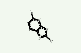 Sc1nc2nc(Br)ccc2o1